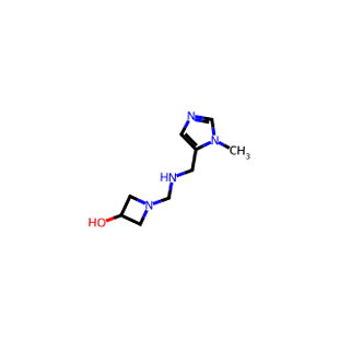 Cn1cncc1CNCN1CC(O)C1